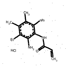 C=CC(=O)Nc1c(N)c(CC)c(C)c(C)c1CCC.Cl